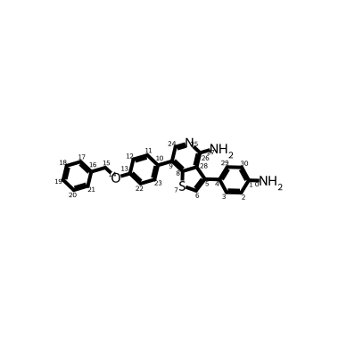 Nc1ccc(-c2csc3c(-c4ccc(OCc5ccccc5)cc4)cnc(N)c23)cc1